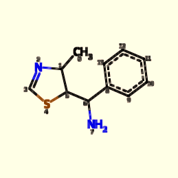 CC1N=CSC1C(N)c1ccccc1